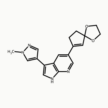 Cn1cc(-c2c[nH]c3ncc(C4=CC5(CC4)OCCO5)cc23)cn1